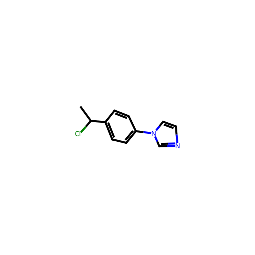 CC(Cl)c1ccc(-n2ccnc2)cc1